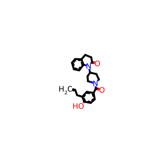 C=CCc1cc(C(=O)N2CCC(N3C(=O)CCc4ccccc43)CC2)ccc1O